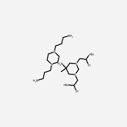 CCCCC(CC)CN1CN(CC(CC)CCCC)CC(C)(N)C1.NCCCN1CCN(CCCN)CC1